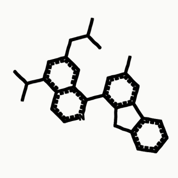 Cc1cc2c(c(-c3nccc4c(C(C)C)cc(CC(C)C)cc34)c1)Cc1ccccc1-2